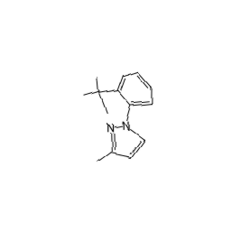 Cc1ccn(-c2ccccc2C(C)(C)C)n1